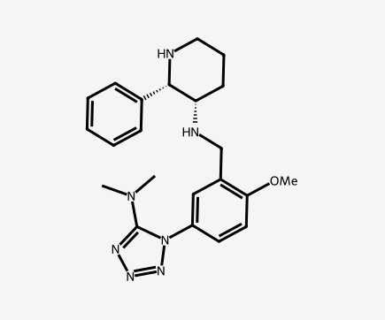 COc1ccc(-n2nnnc2N(C)C)cc1CN[C@H]1CCCN[C@H]1c1ccccc1